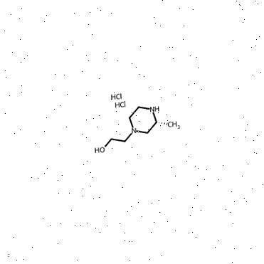 C[C@@H]1CN(CCO)CCN1.Cl.Cl